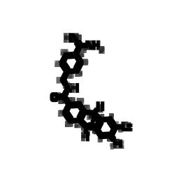 CCc1cc2c(cc1CC)[C@H]1O[C@@H]2c2cc(C(=O)NCc3ccc(C(=N)N)cc3)ccc21